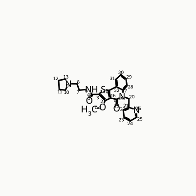 COc1c(C(=O)NCCN2CCCC2)sc2c1c(=O)n(Cc1ccccn1)c1ccccc21